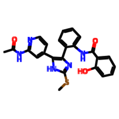 CSc1nc(-c2ccccc2NC(=O)c2ccccc2O)c(-c2ccnc(NC(C)=O)c2)[nH]1